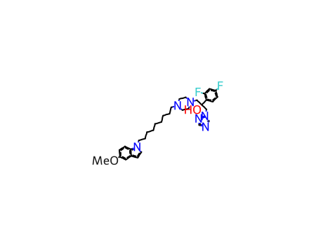 COc1ccc2c(ccn2CCCCCCCCCN2CCN(CC(O)(Cn3cncn3)c3ccc(F)cc3F)CC2)c1